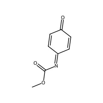 COC(=O)N=C1C=CC(=O)C=C1